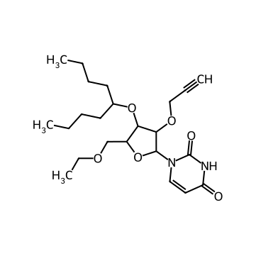 C#CCOC1C(OC(CCCC)CCCC)C(COCC)OC1n1ccc(=O)[nH]c1=O